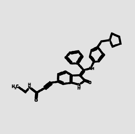 CCNC(=O)C#Cc1ccc2c(c1)NC(=O)/C2=C(\Nc1ccc(CN2CCCC2)cc1)c1ccccc1